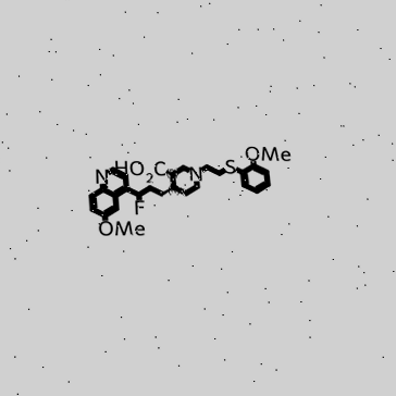 COc1ccc2nccc(C(F)CC[C@@H]3CCN(CCSc4ccccc4OC)C[C@@H]3C(=O)O)c2c1